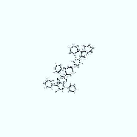 Cc1cc(-c2ccccc2)c2nc(-c3ccc(-c4ccc(-c5nc6ccccc6n5-c5ccccc5)cc4)cc3)c(-c3ccccc3)nc2c1-c1ccccc1